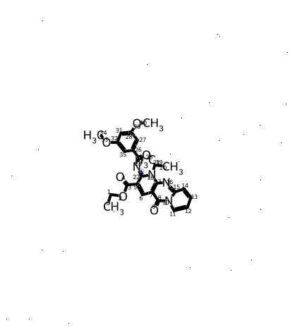 CCOC(=O)c1cc2c(=O)n3ccccc3nc2n(C(C)C)/c1=N\C(=O)c1cc(OC)cc(OC)c1